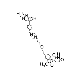 Cn1c(=O)n(C2CCC(=O)NC2=O)c2ccc(CCCOCCCCN3CCN(Cc4ccc(-c5c[nH]c6nc(N)ncc56)cc4)CC3)cc21